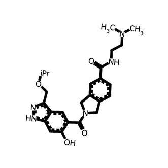 CC(C)OCc1n[nH]c2cc(O)c(C(=O)N3Cc4ccc(C(=O)NCCN(C)C)cc4C3)cc12